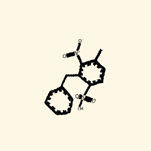 Cc1ccc(S(=O)(=O)O)c(Cc2ccccc2)c1[N+](=O)[O-]